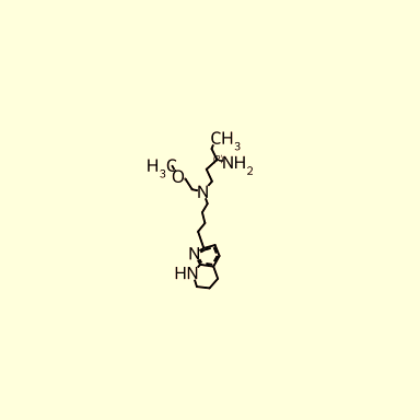 CC[C@@H](N)CCN(CCCCc1ccc2c(n1)NCCC2)CCOC